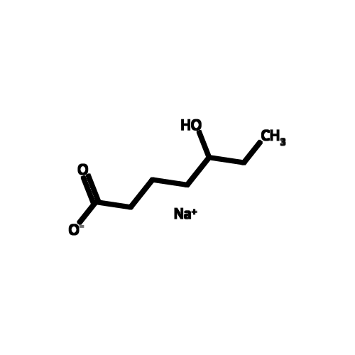 CCC(O)CCCC(=O)[O-].[Na+]